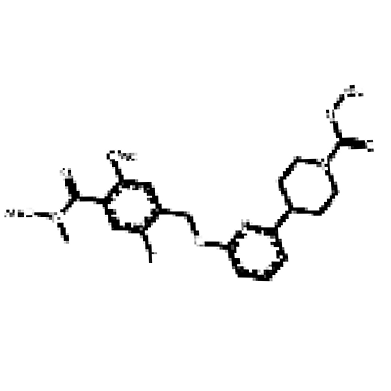 COc1cc(COc2cccc(C3CCN(C(=O)OC(C)(C)C)CC3)n2)c(F)cc1C(=O)N(C)OC